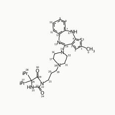 Cc1cc2c(s1)Nc1ccccc1N=C2N1CCN(CCCN2C(=O)NC(C(C)C)(C(C)C)C2=O)CC1